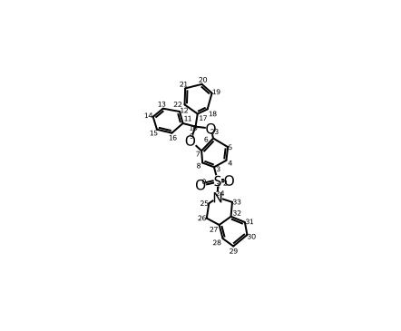 O=S(=O)(c1ccc2c(c1)OC(c1ccccc1)(c1ccccc1)O2)N1CCc2ccccc2C1